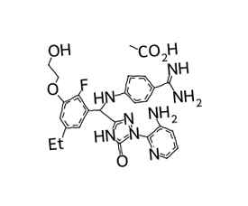 CC(=O)O.CCc1cc(OCCO)c(F)c(C(Nc2ccc(C(=N)N)cc2)c2nn(-c3ncccc3N)c(=O)[nH]2)c1